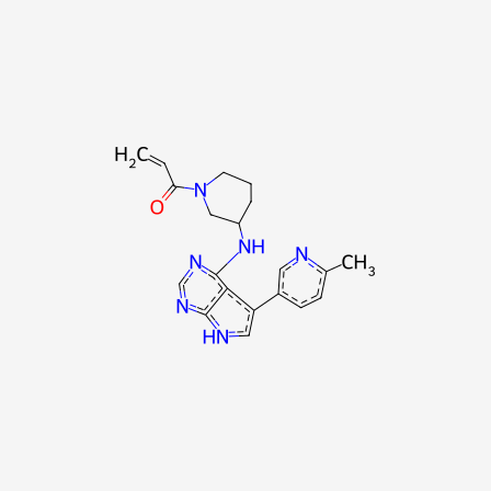 C=CC(=O)N1CCCC(Nc2ncnc3[nH]cc(-c4ccc(C)nc4)c23)C1